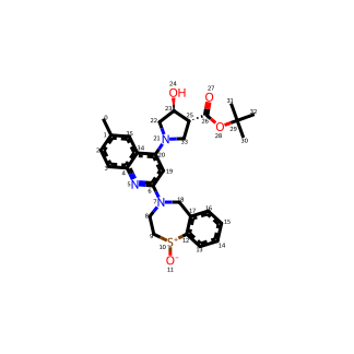 Cc1ccc2nc(N3CC[S+]([O-])c4ccccc4C3)cc(N3C[C@@H](O)[C@H](C(=O)OC(C)(C)C)C3)c2c1